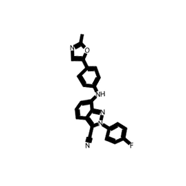 Cc1ncc(-c2ccc(Nc3cccc4c(C#N)n(-c5ccc(F)cc5)nc34)cc2)o1